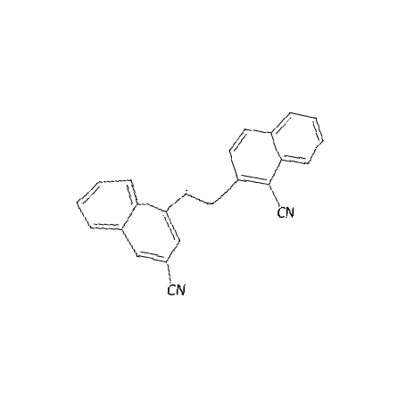 N#Cc1cc([CH]Cc2ccc3ccccc3c2C#N)c2ccccc2c1